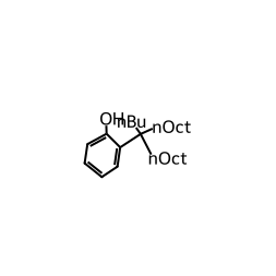 CCCCCCCCC(CCCC)(CCCCCCCC)c1ccccc1O